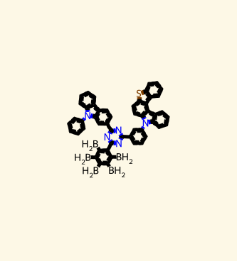 Bc1c(B)c(B)c(-c2nc(-c3cccc(-n4c5ccccc5c5c6c(ccc54)sc4ccccc46)c3)nc(-c3ccc4c5ccccc5n(-c5ccccc5)c4c3)n2)c(B)c1B